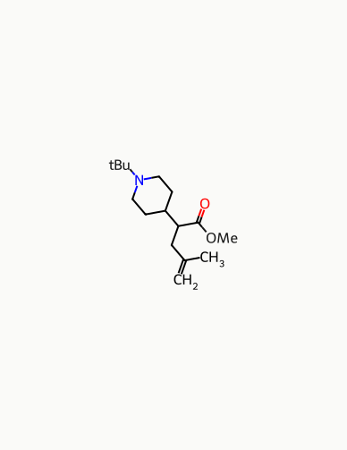 C=C(C)CC(C(=O)OC)C1CCN(C(C)(C)C)CC1